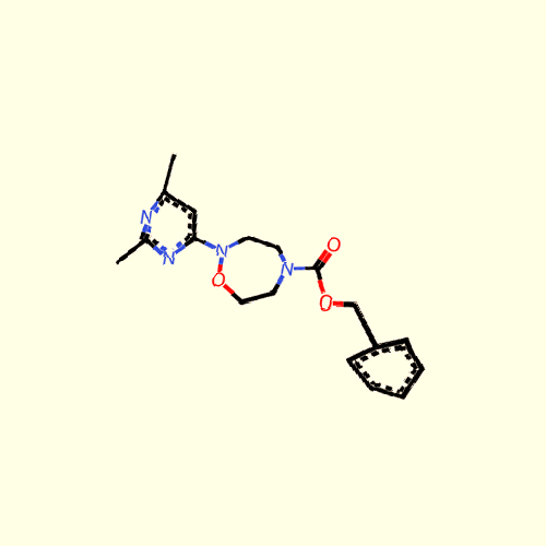 Cc1cc(N2CCN(C(=O)OCc3ccccc3)CCO2)nc(C)n1